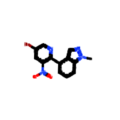 Cn1ncc2c(-c3ncc(Br)cc3[N+](=O)[O-])cccc21